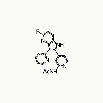 CC(=O)Nc1cc(-c2[nH]c3ccc(F)nc3c2-c2ccccn2)ccn1